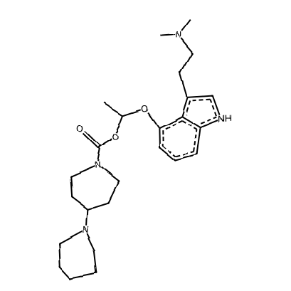 CC(OC(=O)N1CCC(N2CCCCC2)CC1)Oc1cccc2[nH]cc(CCN(C)C)c12